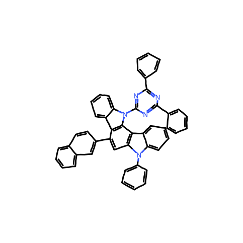 c1ccc(-c2nc(-c3ccccc3)nc(-n3c4ccccc4c4c(-c5ccc6ccccc6c5)cc5c(c6ccccc6n5-c5ccccc5)c43)n2)cc1